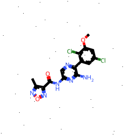 COc1cc(Cl)cc(-c2ncc(NC(=O)c3nonc3C)nc2N)c1Cl